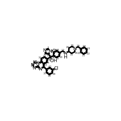 Cn1cncc1C(O)(c1ccc(CNC2CCN(Cc3ccccc3)CC2)cc1)c1ccc2c(c1)c(-c1cccc(Cl)c1)nc1nnnn12